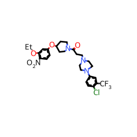 CCOc1cc(OC2CCN(C(=O)CCN3CCN(c4ccc(Cl)c(C(F)(F)F)c4)CC3)CC2)ccc1[N+](=O)[O-]